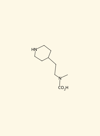 CN(CCC1CCNCC1)C(=O)O